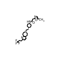 Cc1cnc(CC(=O)N[C@H]2CC[C@H](CCN3CCc4ccc(CCC(F)(F)F)nc4CC3)CC2)o1